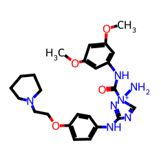 COc1cc(NC(=O)[N+]2(N)C=NC(Nc3ccc(OCCN4CCCCC4)cc3)=N2)cc(OC)c1